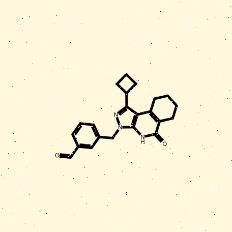 O=Cc1cccc(Cn2nc(C3CCC3)c3c4c(c(=O)[nH]c32)CCCC4)c1